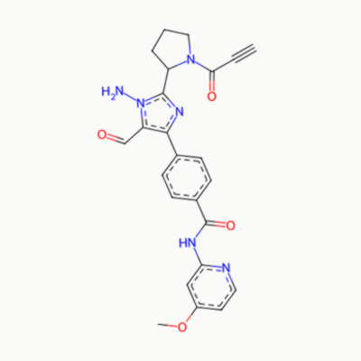 C#CC(=O)N1CCCC1c1nc(-c2ccc(C(=O)Nc3cc(OC)ccn3)cc2)c(C=O)n1N